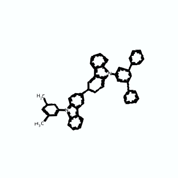 CC1=CC(C)CC(n2c3ccccc3c3cc(C4C=c5c(n(-c6cc(-c7ccccc7)cc(-c7ccccc7)c6)c6ccccc56)=CC4)ccc32)=C1